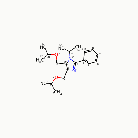 CC(C#N)OCc1nc(-c2ccccc2)n(C(C)C#N)c1COC(C)C#N